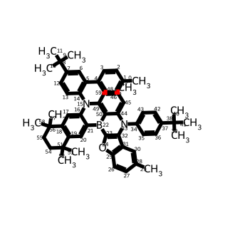 Cc1ccc(-c2cc(C(C)(C)C)ccc2N2c3cc4c(cc3B3c5oc6ccc(C)cc6c5N(c5ccc(C(C)(C)C)cc5)c5cc(C)cc2c53)C(C)(C)CCC4(C)C)cc1